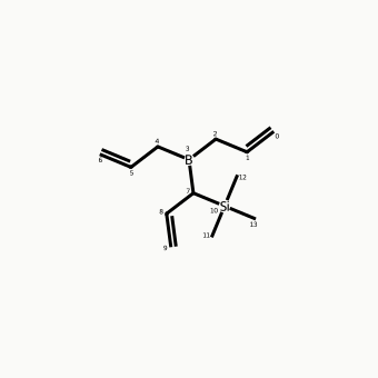 C=CCB(CC=C)C(C=C)[Si](C)(C)C